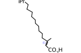 C/C(=C\C(=O)O)CCCCCCCCCCC(C)C